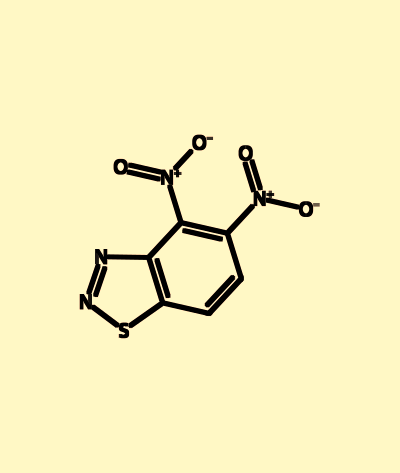 O=[N+]([O-])c1ccc2snnc2c1[N+](=O)[O-]